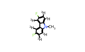 [2H]c1c(F)c([2H])c2c3c([2H])c(F)c([2H])c([2H])c3n(C)c2c1[2H]